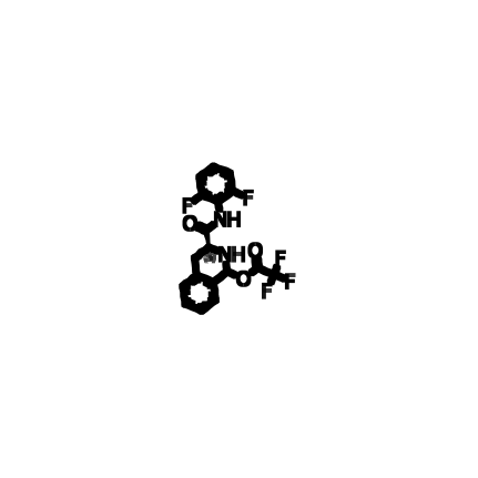 O=C(Nc1c(F)cccc1F)[C@@H]1Cc2ccccc2C(OC(=O)C(F)(F)F)N1